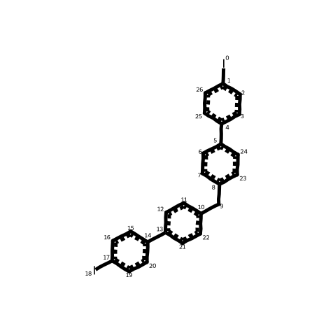 Ic1ccc(-c2ccc(Cc3ccc(-c4ccc(I)cc4)cc3)cc2)cc1